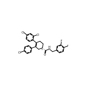 O=C(NCc1ccc(F)c(F)c1)[C@H]1CCC(c2ccc(Cl)cc2Cl)=C(c2ccc(Cl)cc2)C1